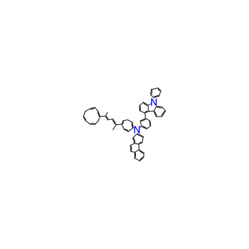 C\C(=C/C=C(C)/C1=C/C=C\C/C=C\C=C/C1)C1=CCC=C(N(c2cccc(-c3cccc4c3c3ccccc3n4-c3ccccc3)c2)c2ccc3c(ccc4ccccc43)c2)C=C1